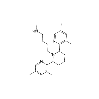 CNCCCCN1C(c2ncc(C)cc2C)CCCC1c1ncc(C)cc1C